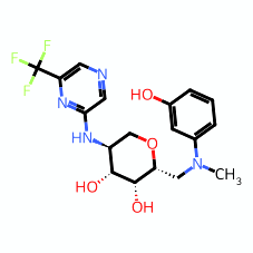 CN(C[C@H]1OC[C@H](Nc2cncc(C(F)(F)F)n2)[C@@H](O)[C@H]1O)c1cccc(O)c1